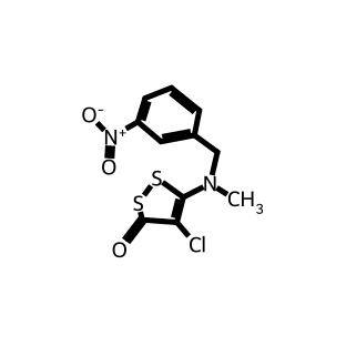 CN(Cc1cccc([N+](=O)[O-])c1)c1ssc(=O)c1Cl